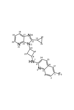 Fc1ccc2nc(NC3CC(n4c(C5CC5)nc5cccnc54)C3)ccc2c1